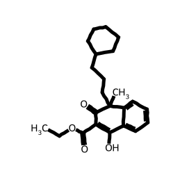 CCOC(=O)C1=C(O)c2ccccc2C(C)(CCCC2CCCCC2)C1=O